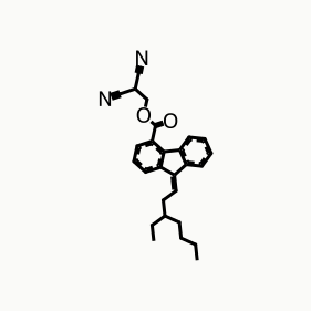 CCCCC(CC)CC=C1c2ccccc2-c2c(C(=O)OCC(C#N)C#N)cccc21